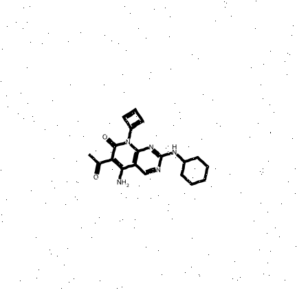 CC(=O)c1c(N)c2cnc(NC3CCCCC3)nc2n(C2=CC=C2)c1=O